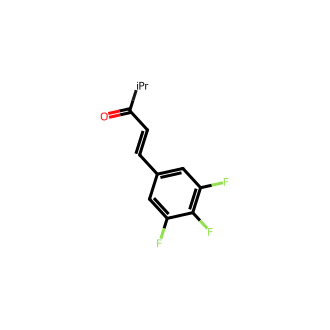 CC(C)C(=O)C=Cc1cc(F)c(F)c(F)c1